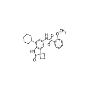 COc1ccccc1S(=O)(=O)Nc1cc(C2CCCCC2)c2c(c1)C1(CCC1)C(=O)N2